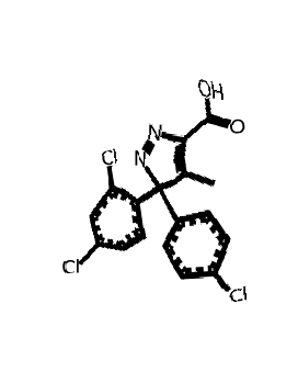 CC1=C(C(=O)O)N=NC1(c1ccc(Cl)cc1)c1ccc(Cl)cc1Cl